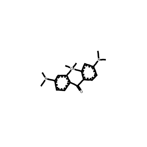 CN(C)c1ccc2[c](c1)[Ge]([CH3])([CH3])[c]1cc(N(C)C)ccc1C2=O